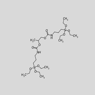 CCO[Si](CCCNC(=O)OCC(C)OC(=O)NCCC[Si](OCC)(OCC)OCC)(OCC)OCC